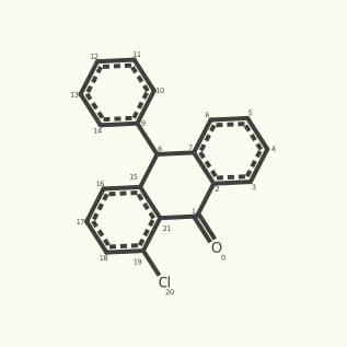 O=C1c2ccccc2C(c2ccccc2)c2cccc(Cl)c21